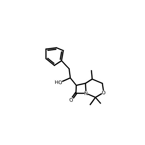 CC1COC(C)(C)N2C(=O)C(C(O)Cc3ccccc3)C12